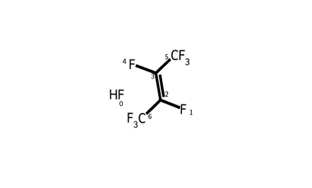 F.F/C(=C(/F)C(F)(F)F)C(F)(F)F